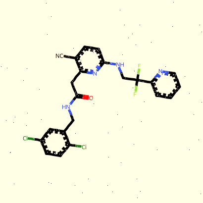 N#Cc1ccc(NCC(F)(F)c2ccccn2)nc1CC(=O)NCc1cc(Cl)ccc1Cl